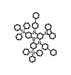 c1ccc(-c2ccc(N3c4cc([Si](c5ccccc5)(c5ccccc5)c5ccccc5)ccc4B4c5ccc([Si](c6ccccc6)(c6ccccc6)c6ccccc6)cc5N(c5ccc(-c6ccccc6)cc5)c5cc(-n6c7ccccc7c7ccccc76)cc3c54)cc2)cc1